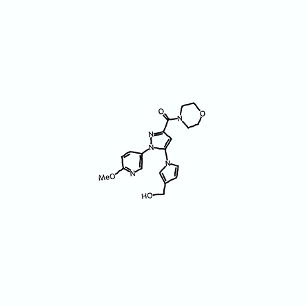 COc1ccc(-n2nc(C(=O)N3CCOCC3)cc2-n2ccc(CO)c2)cn1